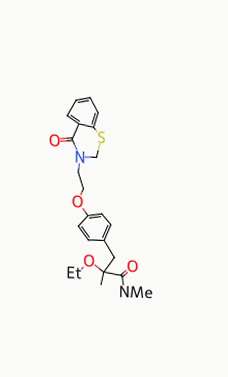 CCOC(C)(Cc1ccc(OCCN2CSc3ccccc3C2=O)cc1)C(=O)NC